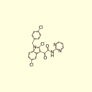 O=C(Nc1ncccn1)C(=O)c1c(Cl)n(Cc2ccc(Cl)cc2)c2ccc(Cl)cc12